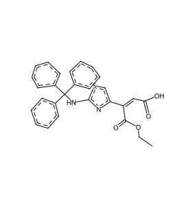 CCOC(=O)/C(=C\C(=O)O)c1csc(NC(c2ccccc2)(c2ccccc2)c2ccccc2)n1